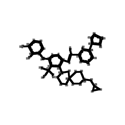 F/C(=C\c1ccc(Oc2cccc(F)c2F)c(C(F)(F)F)c1N1CCCC2(CCN(CC3CC3)CC2)C1)c1cncc(-c2ccns2)n1